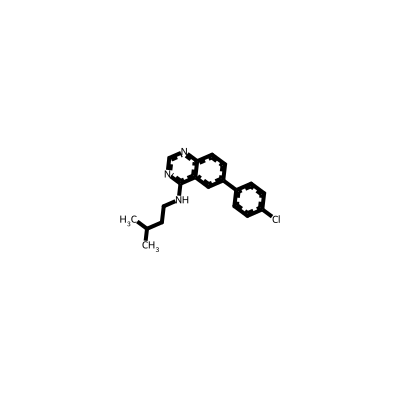 CC(C)CCNc1ncnc2ccc(-c3ccc(Cl)cc3)cc12